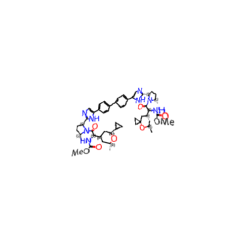 COC(=O)N[C@H](C(=O)N1[C@@H](C)CC[C@H]1c1ncc(-c2ccc(-c3ccc(-c4cnc([C@@H]5CC[C@H](C)N5C(=O)[C@@H](NC(=O)OC)[C@@H]5C[C@@H](C)OC6(CC6)C5)[nH]4)cc3)cc2)[nH]1)[C@@H]1C[C@@H](C)O[C@H](C2CC2)C1